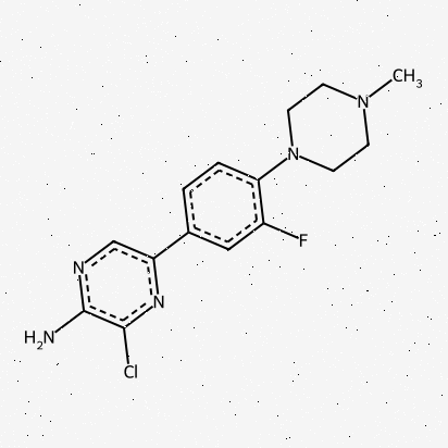 CN1CCN(c2ccc(-c3cnc(N)c(Cl)n3)cc2F)CC1